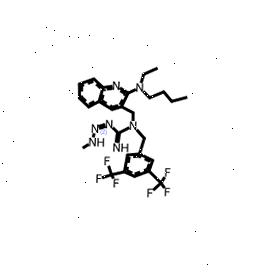 CCCCN(CC)c1nc2ccccc2cc1CN(Cc1cc(C(F)(F)F)cc(C(F)(F)F)c1)C(=N)/N=N\NC